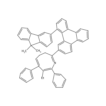 CCC1=C(c2ccccc2)/N=C(/c2ccc3c4ccccc4c4cccc(-c5ccc6c(c5)-c5ccccc5C6(C)C)c4c3c2)CC/C=C\1c1ccccc1